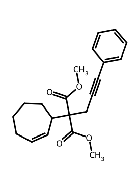 COC(=O)C(CC#Cc1ccccc1)(C(=O)OC)C1C=CCCCC1